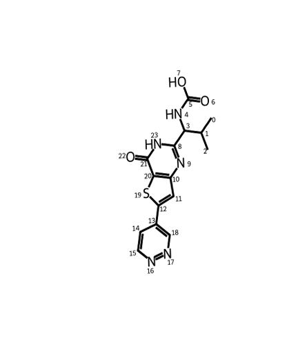 CC(C)C(NC(=O)O)c1nc2cc(-c3ccnnc3)sc2c(=O)[nH]1